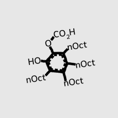 CCCCCCCCc1c(O)c(OC(=O)O)c(CCCCCCCC)c(CCCCCCCC)c1CCCCCCCC